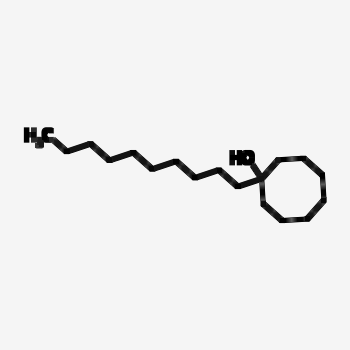 CCCCCCCCCCC1(O)CCCCCCC1